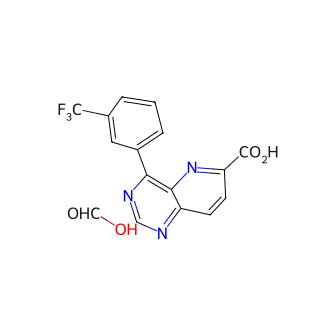 O=C(O)c1ccc2ncnc(-c3cccc(C(F)(F)F)c3)c2n1.O=CO